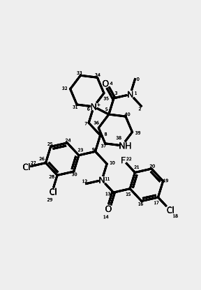 CN(C)C(=O)C1([N+]2(CCC(CN(C)C(=O)c3cc(Cl)ccc3F)c3ccc(Cl)c(Cl)c3)CCCCC2)CCNCC1